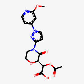 COc1cc(-n2ccc(N3CCO[C@H](C(OC(C)=O)C(=O)O)C3=O)n2)ccn1